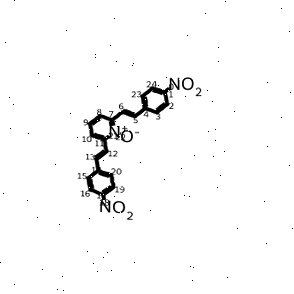 O=[N+]([O-])c1ccc(/C=C/c2cccc(/C=C/c3ccc([N+](=O)[O-])cc3)[n+]2[O-])cc1